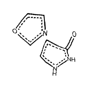 O=c1cc[nH][nH]1.c1cocn1